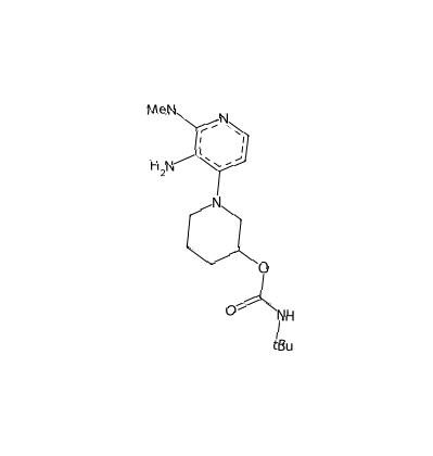 CNc1nccc(N2CCCC(OC(=O)NC(C)(C)C)C2)c1N